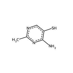 Cc1ncc(S)c(N)n1